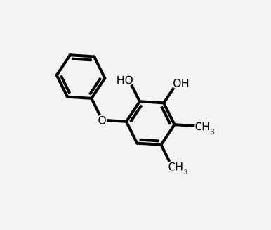 Cc1cc(Oc2ccccc2)c(O)c(O)c1C